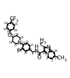 Cc1ccn2c(C(=O)NCc3ccc(N4CCC(Oc5ccc(C(F)(F)F)cc5)CC4)c(F)c3)c(C)nc2c1